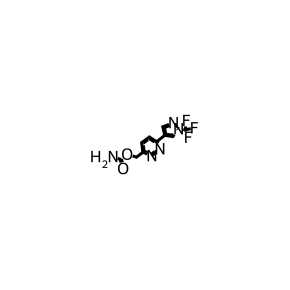 NC(=O)OCc1ccc(-c2cnn(C(F)(F)F)c2)nn1